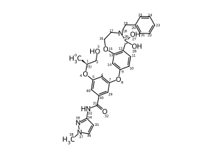 C[C@@H](CO)Oc1cc(Oc2ccc3c(c2)OCCN(Cc2ccccc2)S3(O)O)cc(C(=O)Nc2ccn(C)n2)c1